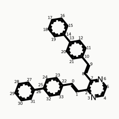 C(=Cc1nccnc1C=Cc1ccc(-c2ccccc2)cc1)c1ccc(-c2ccccc2)cc1